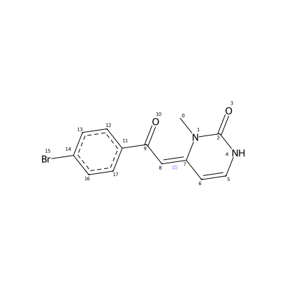 CN1C(=O)NC=C/C1=C/C(=O)c1ccc(Br)cc1